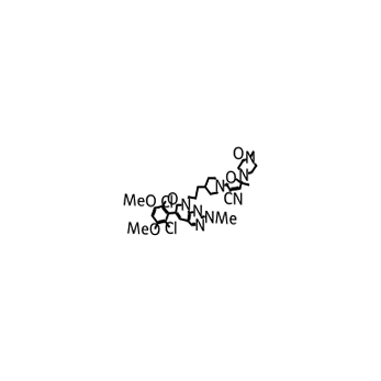 CNc1ncc2cc(-c3c(Cl)c(OC)cc(OC)c3Cl)c(=O)n(CCCC3CCN(C(=O)/C(C#N)=C\C(C)(C)N4CCN(C)C(=O)C4)CC3)c2n1